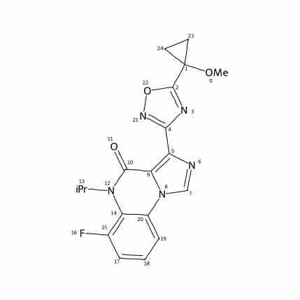 COC1(c2nc(-c3ncn4c3c(=O)n(C(C)C)c3c(F)cccc34)no2)CC1